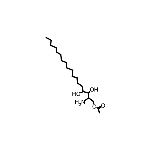 CCCCCCCCCCCCCCC(O)C(O)C(N)COC(C)=O